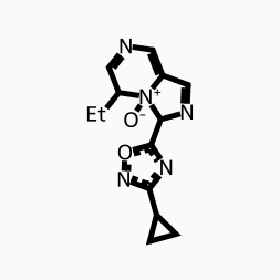 CCC1C=NC=C2C=NC(c3nc(C4CC4)no3)[N+]21[O-]